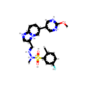 COc1ncc(-c2ccc3ncc(/C=N/N(C)S(=O)(=O)c4cc(F)ccc4C)n3c2)cn1